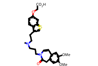 COc1cc2c(cc1OC)CC(=O)N(CCCN(C)CCc1csc3cc(OCC(=O)O)ccc13)C=C2